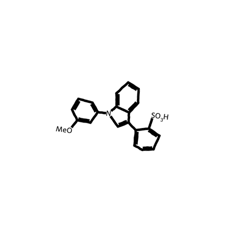 COc1cccc(-n2cc(-c3ccccc3S(=O)(=O)O)c3ccccc32)c1